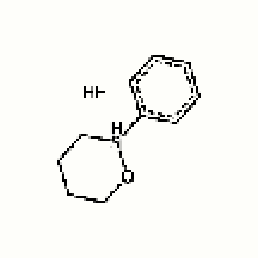 [HH].c1ccc([SiH]2CCCCO2)cc1